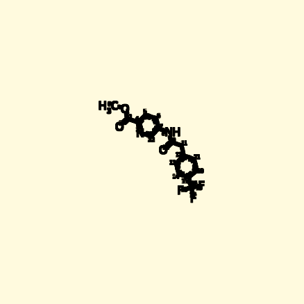 COC(=O)c1ccc(NC(=O)Cc2ccc(C(F)(F)F)cc2)cn1